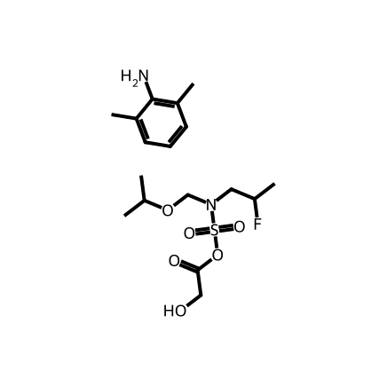 CC(F)CN(COC(C)C)S(=O)(=O)OC(=O)CO.Cc1cccc(C)c1N